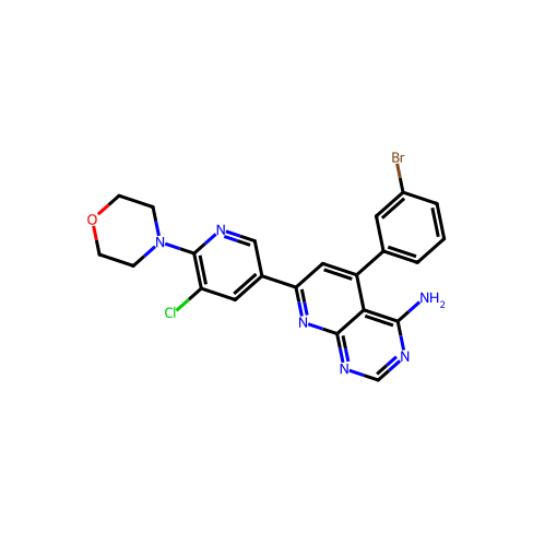 Nc1ncnc2nc(-c3cnc(N4CCOCC4)c(Cl)c3)cc(-c3cccc(Br)c3)c12